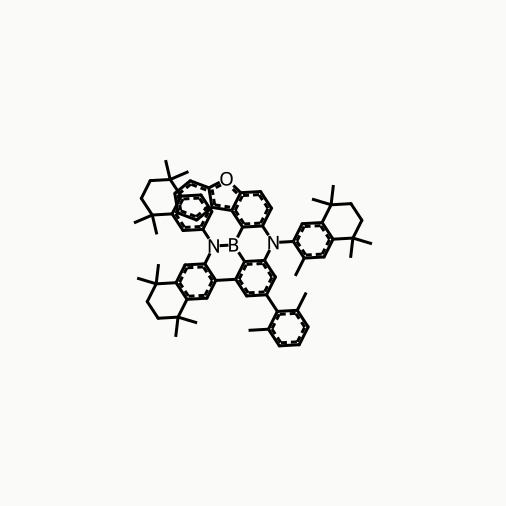 Cc1cc2c(cc1N1c3cc(-c4c(C)cccc4C)cc4c3B(c3c1ccc1oc5ccccc5c31)N(c1ccc3c(c1)C(C)(C)CCC3(C)C)c1cc3c(cc1-4)C(C)(C)CCC3(C)C)C(C)(C)CCC2(C)C